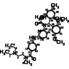 CCN(CC)CCN(C)C(=O)c1ccc(Nc2nccc(N(C(=O)O)C(c3cc(OC)ccc3OC)c3c(C)cc(C)cc3C)n2)cc1